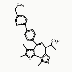 COCc1ccc(-c2ccc(C3=N[C@@H](C(C)C(=O)O)c4nnc(C)n4-c4sc(C)c(C)c43)cc2)cc1